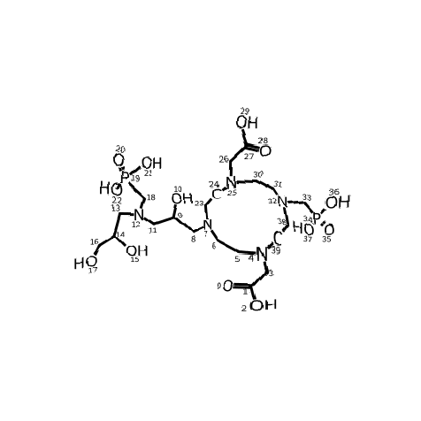 O=C(O)CN1CCN(CC(O)CN(CC(O)CO)CP(=O)(O)O)CCN(CC(=O)O)CCN(CP(=O)(O)O)CC1